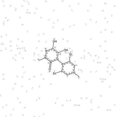 CCc1cc(C)cc(CC)c1-c1c(O)c(O)nn(C)c1=O